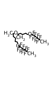 C=C(CCCCOC(F)(F)C(F)(F)C(F)(F)C(C)(F)F)OC(=C)CCCCOC(F)(F)C(F)(F)C(F)(F)C(C)(F)F